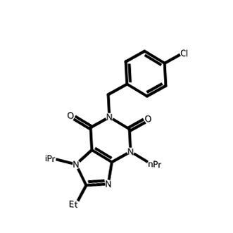 CCCn1c(=O)n(Cc2ccc(Cl)cc2)c(=O)c2c1nc(CC)n2C(C)C